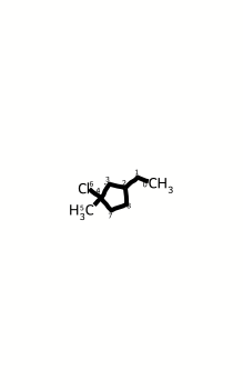 CCC1[CH]C(C)(Cl)CC1